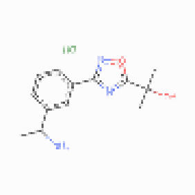 CC(N)c1cccc(-c2noc(C(C)(C)O)n2)c1.Cl